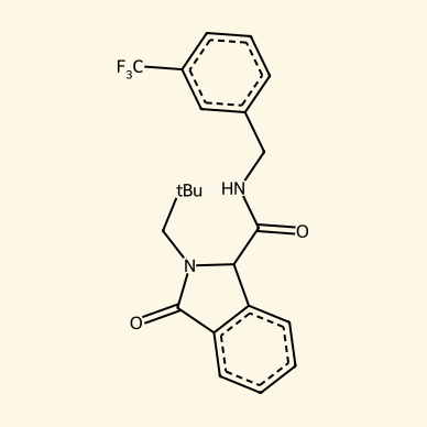 CC(C)(C)CN1C(=O)c2ccccc2C1C(=O)NCc1cccc(C(F)(F)F)c1